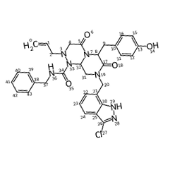 C=CCN1CC(=O)N2C(Cc3ccc(O)cc3)C(=O)N(Cc3cccc4c(Cl)n[nH]c34)CC2N1C(=O)NCc1ccccc1